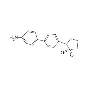 Nc1ccc(-c2ccc(C3CCCS3(=O)=O)cc2)cc1